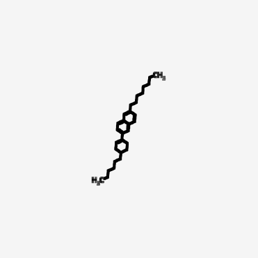 CCCCCCCCc1ccc2cc(C3=CCC(CCCCCC)CC3)ccc2c1